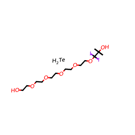 CC(C)(O)C(I)(I)OCCOCCOCCOCCOCCO.[TeH2]